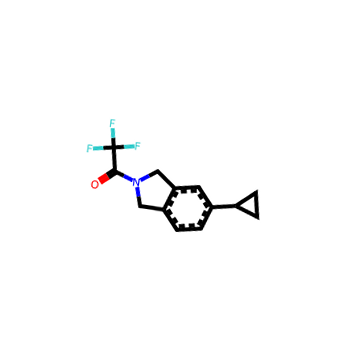 O=C(N1Cc2ccc(C3CC3)cc2C1)C(F)(F)F